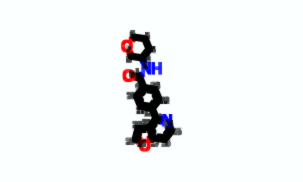 O=C(NC1CCCOC1)c1ccc(-c2nccc3occc23)cc1